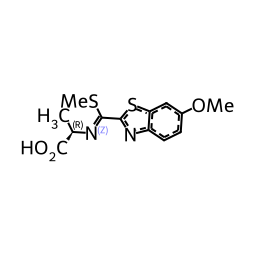 COc1ccc2nc(/C(=N/[C@H](C)C(=O)O)SC)sc2c1